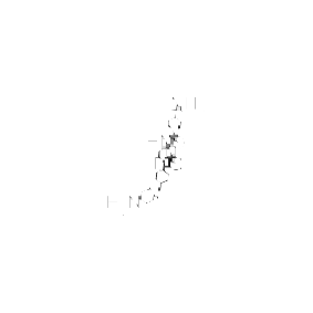 CC(C)(N)C1CCN(C(=O)Nc2ccn(-c3ccc(CN4CCC(N)CC4)cc3)c(=O)n2)CC1.Cl